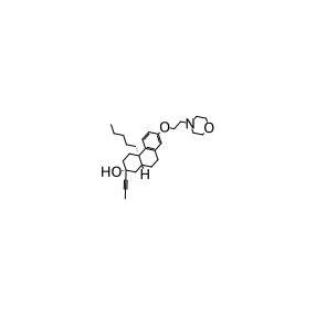 CC#C[C@@]1(O)CC[C@@]2(CCCCC)c3ccc(OCCN4CCOCC4)cc3CC[C@@H]2C1